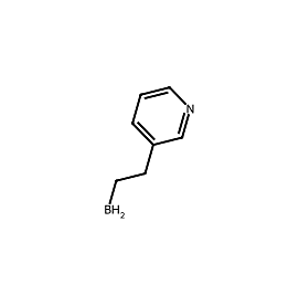 BCCc1cccnc1